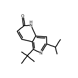 CC(C)c1cc2[nH]c(=O)ccc2c(C(C)(C)C)n1